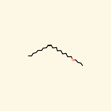 CCCCCCCC/C=C\CCCCCCCCOCCCC